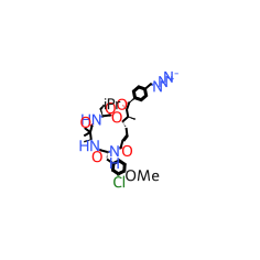 COc1ccc(C[C@H]2NC(=O)/C=C/C[C@@H]([C@H](C)[C@@H]3O[C@H]3c3ccc(CN=[N+]=[N-])cc3)OC(=O)[C@H](CC(C)C)NC(=O)C(C)(C)[C@H](C)NC2=O)cc1Cl